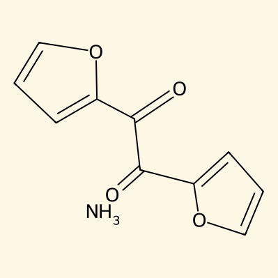 N.O=C(C(=O)c1ccco1)c1ccco1